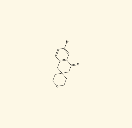 O=C1CC2(CCOCC2)Cc2ccc(Br)cc21